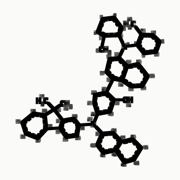 Cc1ccccc1N(c1ccccc1C)c1ccc(-c2ccc(N(c3ccc4c(c3)C(C)(C)c3ccccc3-4)c3ccc4ccccc4c3)cc2O)c2ccccc12